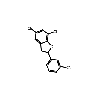 N#Cc1cccc(C2Cc3cc(Cl)cc(Cl)c3O2)c1